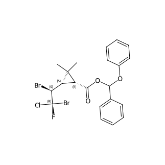 CC1(C)[C@@H]([C@H](Br)[C@@](F)(Cl)Br)[C@H]1C(=O)OC(Oc1ccccc1)c1ccccc1